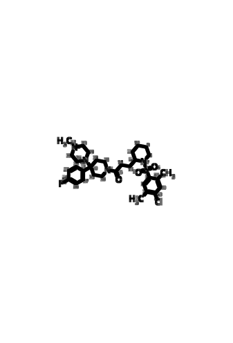 Cc1cc(S(=O)(=O)N2CCCCC2CCC(=O)N2CCC(c3ccc(F)cc3)(N3CCN(C)CC3)CC2)c(C)cc1Cl